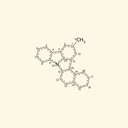 Cc1cc2c3ccccc3n3c4ccc5ccccc5c4c(c1)c23